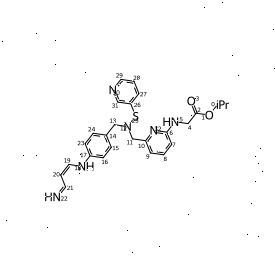 CC(C)OC(=O)CNc1cccc(CN(Cc2ccc(N/C=C\C=N)cc2)Sc2cccnc2)n1